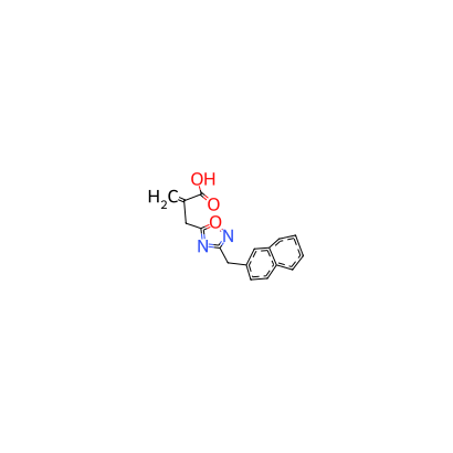 C=C(Cc1nc(Cc2ccc3ccccc3c2)no1)C(=O)O